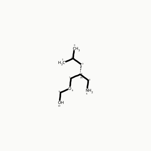 CC(C)C[C@H](CN)COCO